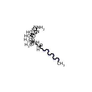 CC/C=C\C/C=C\C/C=C\C/C=C\C/C=C\C/C=C\CCC(=O)NCCNP(=O)(OC)OC(C)[C@H]1O[C@@H](N2C=NC3C(N)=NC=NC32)[C@H](O)[C@@H]1O